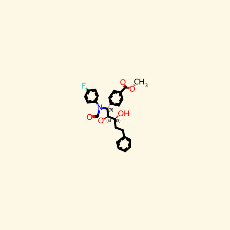 COC(=O)c1ccc([C@@H]2[C@@H]([C@@H](O)CCc3ccccc3)OC(=O)N2c2ccc(F)cc2)cc1